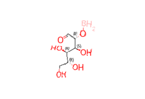 BO[C@@H](C=O)[C@@H](O)[C@H](O)[C@H](O)CO